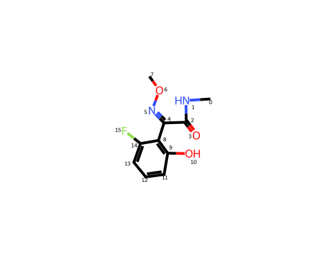 CNC(=O)/C(=N\OC)c1c(O)cccc1F